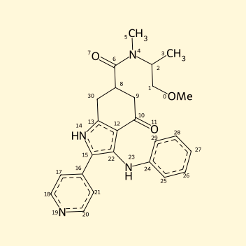 COCC(C)N(C)C(=O)C1CC(=O)c2c([nH]c(-c3ccncc3)c2Nc2ccccc2)C1